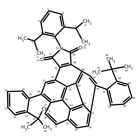 CC(C)c1cccc(C(C)C)c1-n1c(=O)c2c3cc(-c4ccccc4C(C)(C)C)c4ccc5ccc6c(-c7ccccc7C(C)(C)C)cc(c2c1=O)c1c6c5c4c31